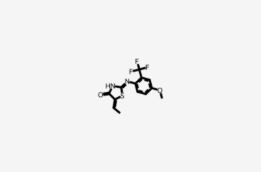 C/C=C1\S/C(=N\c2ccc(OC)cc2C(F)(F)F)NC1=O